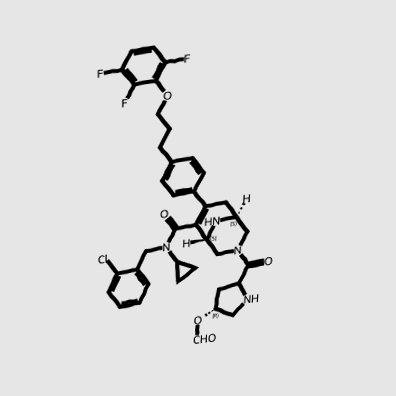 O=CO[C@H]1CNC(C(=O)N2C[C@@H]3CC(c4ccc(CCCOc5c(F)ccc(F)c5F)cc4)=C(C(=O)N(Cc4ccccc4Cl)C4CC4)[C@@H](C2)N3)C1